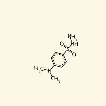 CN(C)c1ccc(S(=O)(=O)NN)cc1